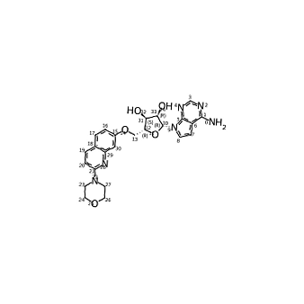 Nc1ncnc2c1ccn2[C@@H]1O[C@H](COc2ccc3ccc(N4CCOCC4)nc3c2)[C@@H](O)[C@H]1O